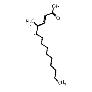 CCCCCCCCC[CH]C(C)C=CC(=O)O